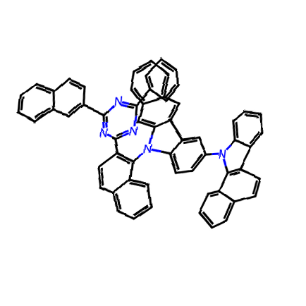 c1ccc(-c2nc(-c3ccc4ccccc4c3)nc(-c3ccc4ccccc4c3-n3c4ccc(-n5c6ccccc6c6ccc7ccccc7c65)cc4c4cc5ccccc5cc43)n2)cc1